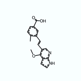 COc1c(C=Cc2cc(C(=O)O)ccc2C)cnc2[nH]ccc12